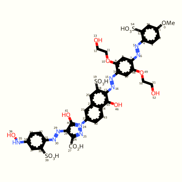 COc1ccc(/N=N/c2cc(OCCO)c(/N=N/c3c(S(=O)(=O)O)cc4cc(-n5nc(C(=O)O)c(/N=N/c6ccc(NO)cc6S(=O)(=O)O)c5O)ccc4c3O)cc2OCCO)c(S(=O)(=O)O)c1